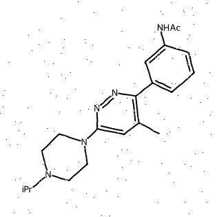 CC(=O)Nc1cccc(-c2nnc(N3CCN(C(C)C)CC3)cc2C)c1